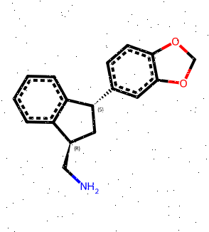 NC[C@@H]1C[C@@H](c2ccc3c(c2)OCO3)c2ccccc21